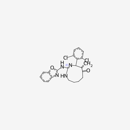 C=C1C(=O)CCCCN/C(Nc2nc3ccccc3o2)=N\C1c1c(Cl)cccc1Cl